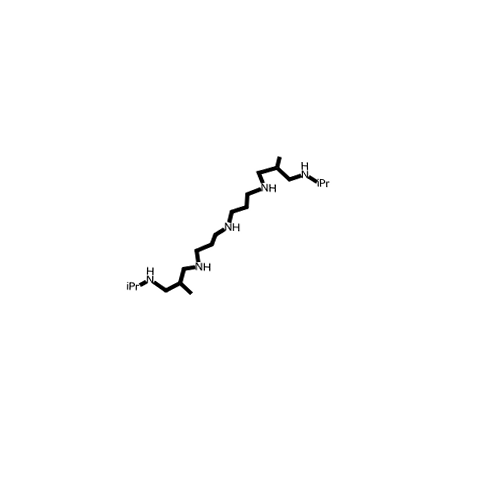 CC(CNCCCNCCCNCC(C)CNC(C)C)CNC(C)C